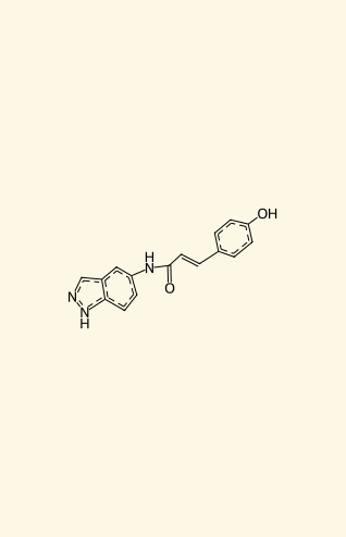 O=C(C=Cc1ccc(O)cc1)Nc1ccc2[nH]ncc2c1